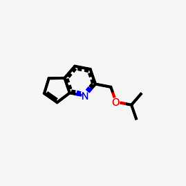 CC(C)OCc1ccc2c(n1)C=CC2